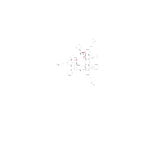 Cc1cc(C)c(N2c3cc4c(cc3B3c5cc6c(cc5Oc5cc(C78CC9CC(CC(C9)C7)C8)cc2c53)N(c2c(C)cc(C)cc2C)c2cc(C35CC7CC(CC(C7)C3)C5)cc3c2B6c2ccccc2O3)B2c3ccccc3N(c3ccccc3)c3cc(C56CC7CC(CC(C7)C5)C6)cc(c32)N4)c(C)c1